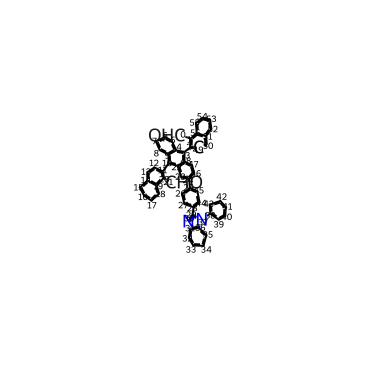 O=Cc1c(-c2c3ccccc3c(-c3ccc4ccccc4c3C=O)c3cc(-c4ccc(-c5nc6ccccc6n5-c5ccccc5)cc4)ccc23)ccc2ccccc12